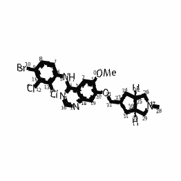 COc1cc2c(Nc3ccc(Br)c(Cl)c3Cl)ncnc2cc1OCC1C[C@@H]2CN(C)C[C@@H]2C1